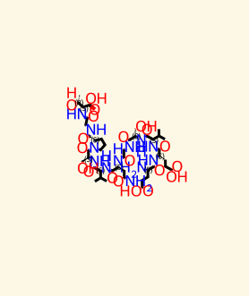 CC(C)[C@H](NC(=O)[C@H](CCC(=O)O)NC(=O)[C@@H](N)CCC(=O)O)C(=O)N[C@@H](CO)C(=O)NCC(=O)N[C@@H](CC(N)=O)C(=O)N[C@H](C(=O)N[C@@H](CO)C(=O)N1CCC[C@H]1C(=O)NCC(=O)N[C@H](C(=O)O)[C@@H](C)O)C(C)C